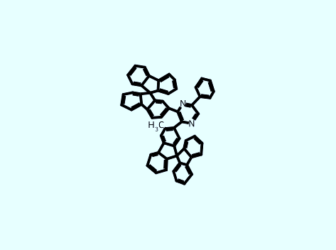 Cc1cc2c(cc1-c1ncc(-c3ccccc3)nc1-c1ccc3c(c1)C1(c4ccccc4-c4ccccc41)c1ccccc1-3)C1(c3ccccc3-c3ccccc31)c1ccccc1-2